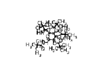 CC(C)(C)C(=O)OC[C@H]1O[C@H](OC(=N)C(Cl)(Cl)Cl)[C@H](OC(=O)C(C)(C)C)[C@@H](OC(=O)C(C)(C)C)[C@H]1OC(=O)C(C)(C)C